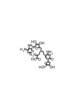 Nc1nc(=O)n([C@H]2C[C@H](O)[C@@H](CO)O2)cc1CCN(CC[C@H](N)C(=O)O)C[C@H]1O[C@@H](n2cnc3c(N)ncnc32)[C@H](O)[C@@H]1O